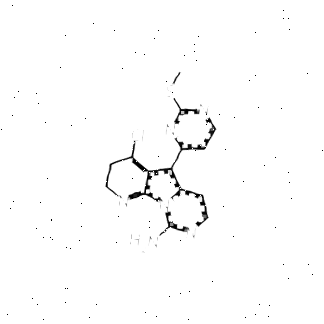 CSc1nccc(-c2c3c(n4c(N)nccc24)=NCCC=3Cl)n1